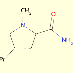 CCCC1CC(C(N)=O)N(C)C1